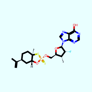 C=C(C)[C@H]1CC[C@@]2(C)S[P@](=S)(OC[C@H]3O[C@@H](n4cnc5c(O)ncnc54)[C@H](F)[C@@H]3C)O[C@@H]2C1